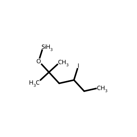 CCC(I)CC(C)(C)O[SiH3]